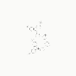 CC(C)(C)c1ccc2c(c1)c1cc(C(C)(C)C)ccc1n2-c1cccc(-c2cncc(-c3cncc(-c4cccc(-n5c6ccc(C(C)(C)C)cc6c6cc(C(C)(C)C)ccc65)c4)c3)c2)c1